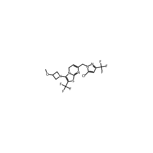 COC1CN(C2=C(C(F)(F)F)SC3=NC(Cn4nc(C(F)(F)F)cc4Cl)=CCN32)C1